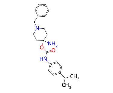 CC(C)c1ccc(NC(=O)OC2(N)CCN(Cc3ccccc3)CC2)cc1